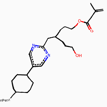 C=C(C)C(=O)OCCC(CCO)Cc1ncc(C2CCC(CCCCC)CC2)cn1